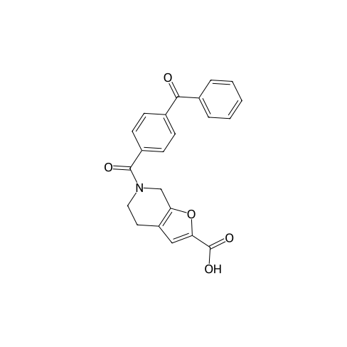 O=C(c1ccccc1)c1ccc(C(=O)N2CCc3cc(C(=O)O)oc3C2)cc1